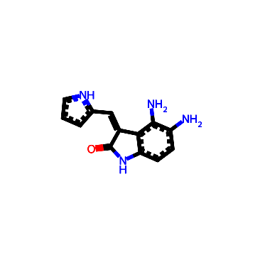 Nc1ccc2c(c1N)C(=Cc1ccc[nH]1)C(=O)N2